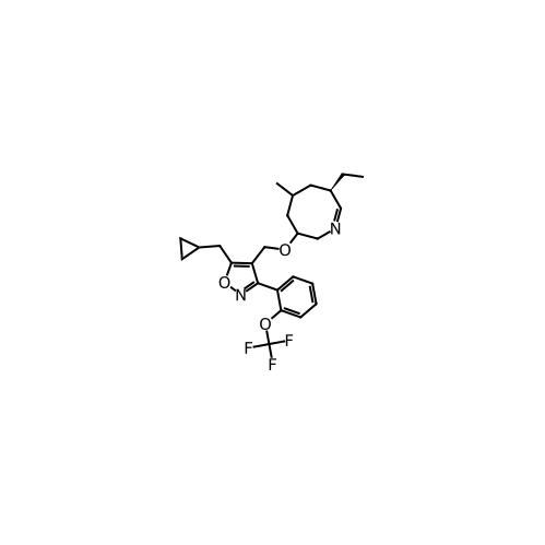 CC[C@H]1/C=N\CC(OCc2c(-c3ccccc3OC(F)(F)F)noc2CC2CC2)CC(C)C1